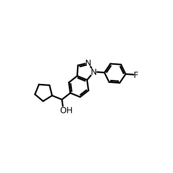 OC(c1ccc2c(cnn2-c2ccc(F)cc2)c1)C1CCCC1